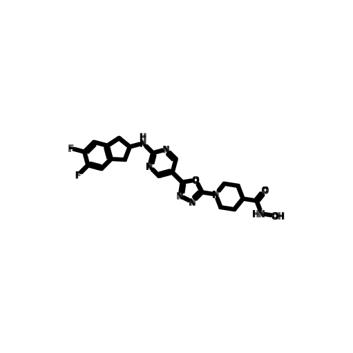 O=C(NO)C1CCN(c2nnc(-c3cnc(NC4Cc5cc(F)c(F)cc5C4)nc3)o2)CC1